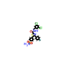 NS(=O)(=O)c1ccc(-c2sc(C(=O)NCc3cc(Cl)cc(Cl)c3)nc2-c2ccc(F)cc2)cc1